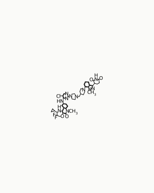 Cn1nc(C2CCC(=O)NC2=O)c2cccc(N3CCC(CN4CCN(c5ncc(Cl)c(Nc6ccc7c(c6)c6c(c(=O)n7C)OCC(F)(F)C(C7CC7)N6)n5)CC4)CC3)c21